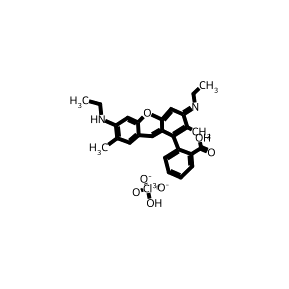 CCN=c1cc2oc3cc(NCC)c(C)cc3cc-2c(-c2ccccc2C(=O)O)c1C.[O-][Cl+3]([O-])([O-])O